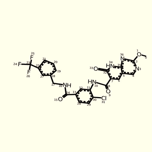 COc1ncc2cc(C(=O)Nc3cc(C(=O)NCc4cccc(C(F)(F)F)c4)ccc3Cl)c(=O)[nH]c2n1